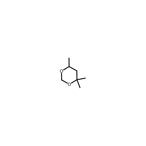 CC1CC(C)(C)OCO1